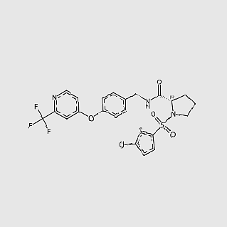 O=C(NCc1ccc(Oc2ccnc(C(F)(F)F)c2)cc1)[C@@H]1CCCN1S(=O)(=O)c1ccc(Cl)s1